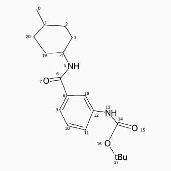 CC1CCC(NC(=O)c2cccc(NC(=O)OC(C)(C)C)c2)CC1